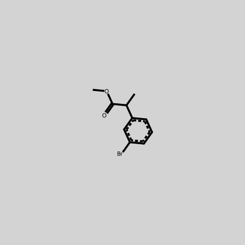 COC(=O)C(C)c1cccc(Br)c1